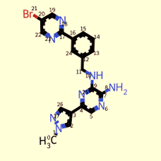 Cn1cc(-c2cnc(N)c(NCc3cccc(-c4ncc(Br)cn4)c3)n2)cn1